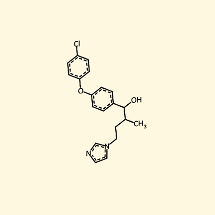 CC(CCn1ccnc1)C(O)c1ccc(Oc2ccc(Cl)cc2)cc1